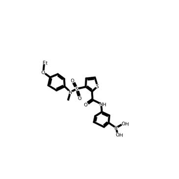 CCOc1ccc(N(C)S(=O)(=O)c2ccsc2C(=O)Nc2cccc(B(O)O)c2)cc1